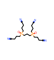 N#CCCCP(=O)(CCCC#N)CCCP(=O)(CCCC#N)CCCC#N